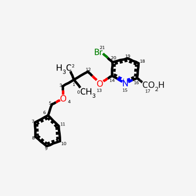 CC(C)(COCc1ccccc1)COc1nc(C(=O)O)ccc1Br